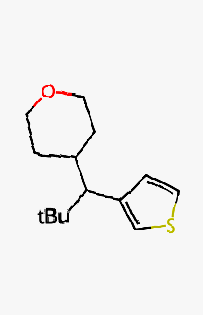 CC(C)(C)C(c1ccsc1)C1CCOCC1